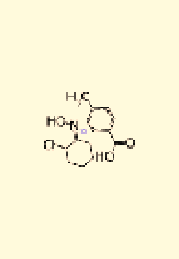 Cc1ccc(C(=O)O)cc1.O/N=C1/CCCCC1Cl